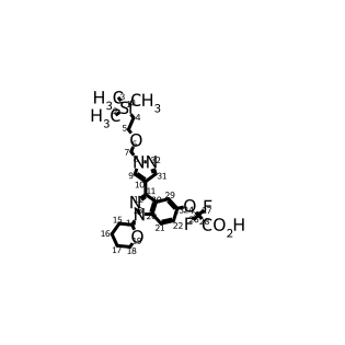 C[Si](C)(C)CCOCn1cc(-c2nn(C3CCCCO3)c3ccc(OC(F)(F)C(=O)O)cc23)cn1